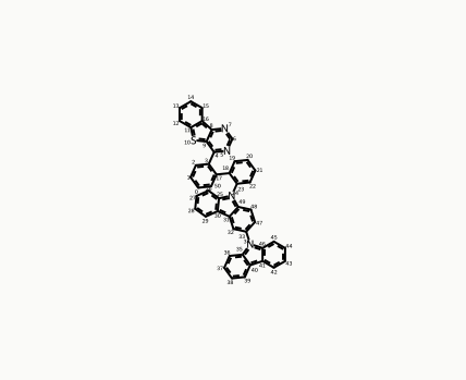 c1ccc(-c2ncnc3c2sc2ccccc23)c(-c2ccccc2-n2c3ccccc3c3cc(-n4c5ccccc5c5ccccc54)ccc32)c1